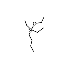 CCCC[Si](CC)(CC)OCC